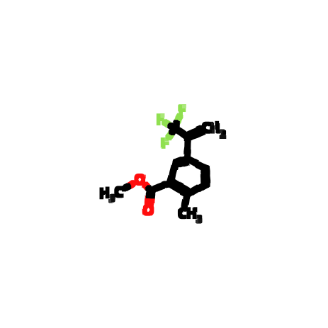 C=C(c1ccc(C)c(C(=O)OC)c1)C(F)(F)F